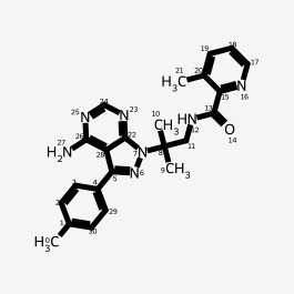 Cc1ccc(-c2nn(C(C)(C)CNC(=O)c3ncccc3C)c3ncnc(N)c23)cc1